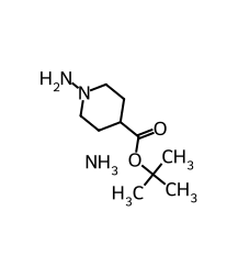 CC(C)(C)OC(=O)C1CCN(N)CC1.N